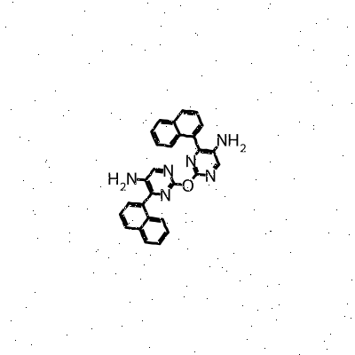 Nc1cnc(Oc2ncc(N)c(-c3cccc4ccccc34)n2)nc1-c1cccc2ccccc12